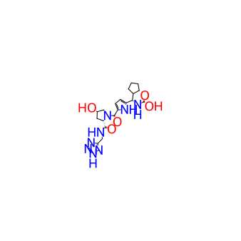 O=C(O)N[C@H](c1ccc(C(=O)N2C[C@H](O)C[C@H]2C(=O)NCc2nn[nH]n2)[nH]1)C1CCCC1